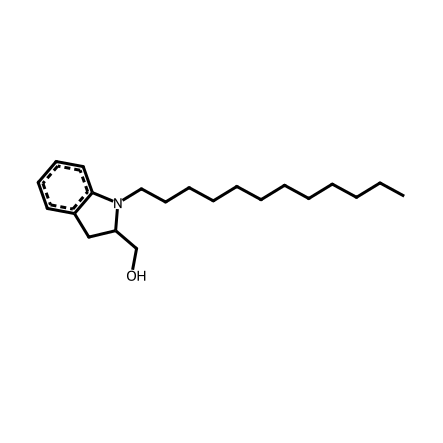 CCCCCCCCCCCCN1c2ccccc2CC1CO